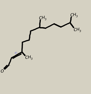 C/C(=C\[C]=O)CCCC(C)CCCC(C)C